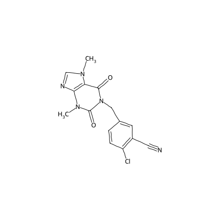 Cn1cnc2c1c(=O)n(Cc1ccc(Cl)c(C#N)c1)c(=O)n2C